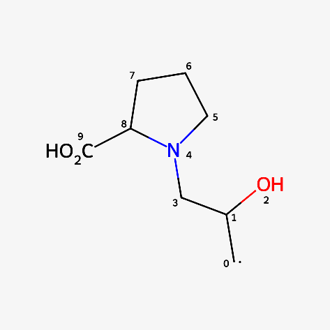 [CH2]C(O)CN1CCCC1C(=O)O